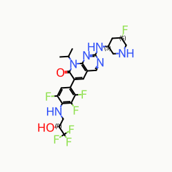 CC(C)n1c(=O)c(-c2cc(F)c(NC[C@@H](O)C(F)(F)F)c(F)c2F)cc2cnc(N[C@@H]3CNC[C@@H](F)C3)nc21